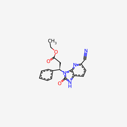 CCOC(=O)C[C@H](c1ccccc1)n1c(=O)[nH]c2ccc(C#N)nc21